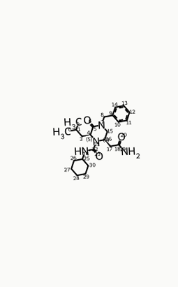 CC(C)C[C@H]1C(=O)N(Cc2ccccc2)C[C@@H](CC(N)=O)N1C(=O)NC1CCCCC1